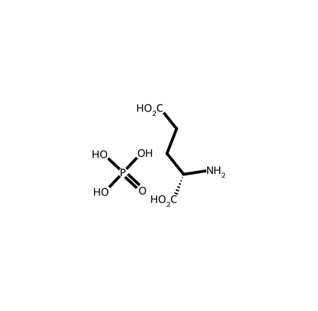 N[C@@H](CCC(=O)O)C(=O)O.O=P(O)(O)O